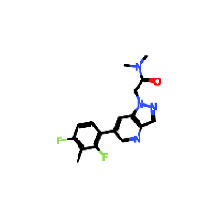 Cc1c(F)ccc(-c2cnc3cnn(CC(=O)N(C)C)c3c2)c1F